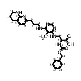 Cc1c(NCCCc2ccc3c(n2)NCCC3)ncnc1NCC(NC(=O)OCc1ccccc1)C(=O)O